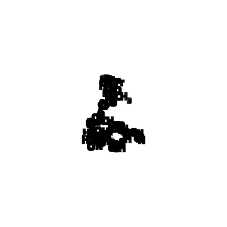 CC(C)[C@H](NC(=O)OC(C)(C)C)C(=O)N[C@@H](C)C(=O)Nc1ccc(COC(=O)N(C)Cc2ccccc2C(=O)Nc2nc3c(ncn3[C@@H]3O[C@@H]4CO[P@@](=O)(S)O[C@H]5C[C@H](Oc6ccncn6)C[C@@H]5CCO[P@@](=O)(S)O[C@@H]3[C@@H]4O)c(=O)[nH]2)cc1